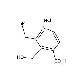 CC(C)Cc1nccc(C(=O)O)c1CO.Cl